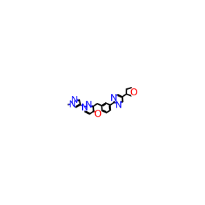 Cn1cc(-n2ccc(=O)c(Cc3cccc(-c4ncc(C5CCOC5)cn4)c3)n2)cn1